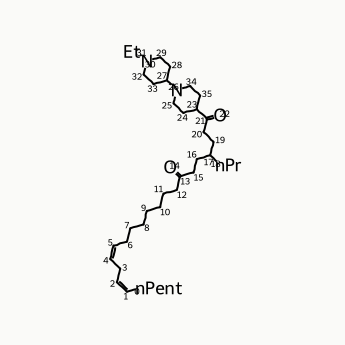 CCCCC/C=C\C/C=C\CCCCCCCC(=O)CCC(CCC)CCC(=O)C1CCN(C2CCN(CC)CC2)CC1